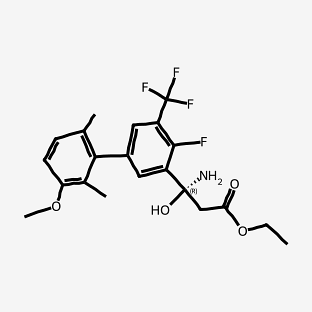 CCOC(=O)C[C@@](N)(O)c1cc(-c2c(C)ccc(OC)c2C)cc(C(F)(F)F)c1F